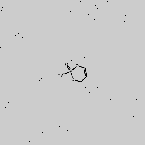 CP1(=O)OC=CCO1